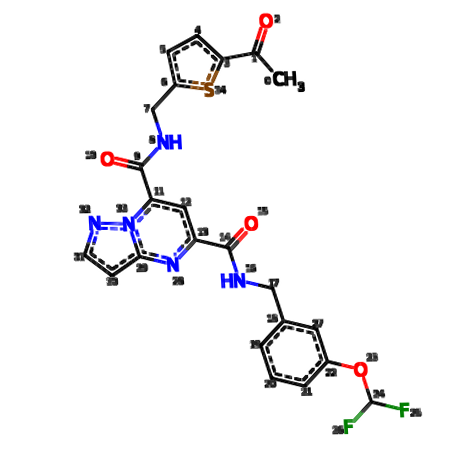 CC(=O)c1ccc(CNC(=O)c2cc(C(=O)NCc3cccc(OC(F)F)c3)nc3ccnn23)s1